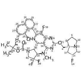 CN(c1nc(OC[C@@]23CCCN2C[C@H](F)C3)nc2c(F)c(-c3cccc4cccc(Cl)c34)ncc12)[C@@H]1CN(C(=O)OC(C)(C)C)CC1(F)F